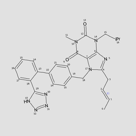 C/C=C/Cc1nc2c(c(=O)n(C)c(=O)n2CC(C)C)n1Cc1ccc(-c2ccccc2-c2nnn[nH]2)cc1